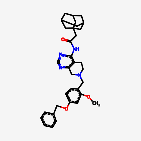 COc1cc(OCc2ccccc2)ccc1CN1CCc2c(ncnc2NC(=O)CC23CC4CC(CC(C4)C2)C3)C1